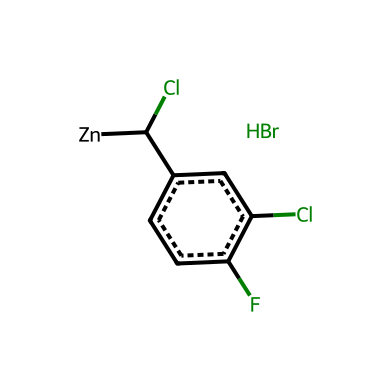 Br.Fc1ccc([CH](Cl)[Zn])cc1Cl